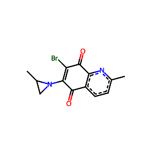 Cc1ccc2c(n1)C(=O)C(Br)=C(N1CC1C)C2=O